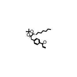 C=CC(=O)c1ccc(C[C@H]2OC(C)(C)O[C@@H]2CCCCCCC)cc1